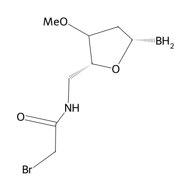 B[C@H]1CC(OC)[C@@H](CNC(=O)CBr)O1